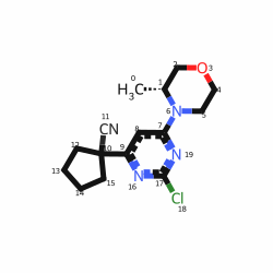 C[C@@H]1COCCN1c1cc(C2(C#N)CCCC2)nc(Cl)n1